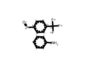 Nc1ccccc1.O=Pc1ccc(C(F)(F)F)cc1